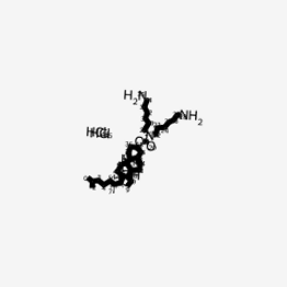 CC(C)CCC[C@@H](C)[C@H]1CC[C@H]2[C@@H]3CC=C4C[C@@H](OC(=O)N(CCCCCCN)CCCCCCN)CC[C@]4(C)[C@H]3CC[C@]12C.Cl.Cl